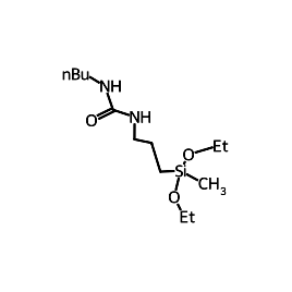 CCCCNC(=O)NCCC[Si](C)(OCC)OCC